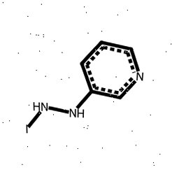 INNc1cccnc1